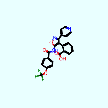 O=C(Nc1onc(-c2ccncc2)c1-c1ccccc1C(=O)O)c1ccc(OC(F)(F)F)cc1